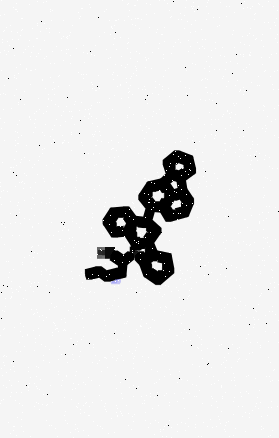 C=C/C=C\C(=N)n1c2ccccc2c2cc(-c3ccc4c5c(cccc35)-c3ccccc3-4)c3ccccc3c21